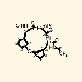 CCC[C@@H]1NC(=O)[C@@H](NC(C)=O)Cc2cccc(c2)Oc2cccc(c2)C[C@@H](C(=O)NCC(F)(F)F)NC1=O